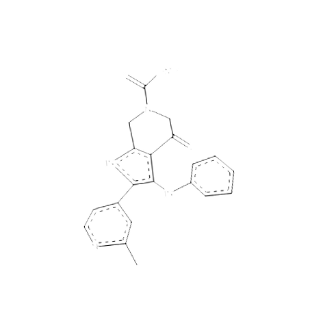 COC(=O)N1CC(=O)c2c([nH]c(-c3ccnc(C)c3)c2Nc2ccccc2)C1